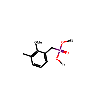 CCOP(=O)(Cc1cccc(C)c1OC)OCC